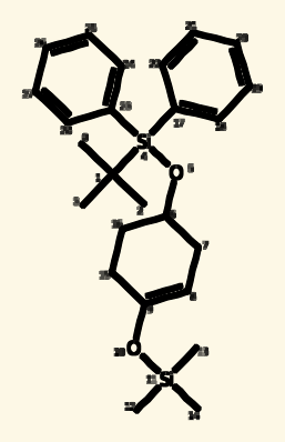 CC(C)(C)[Si](OC1CC=C(O[Si](C)(C)C)CC1)(c1ccccc1)c1ccccc1